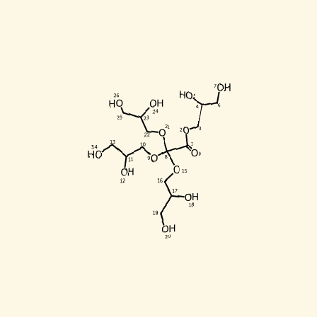 O=C(OCC(O)CO)C(OCC(O)CO)(OCC(O)CO)OCC(O)CO